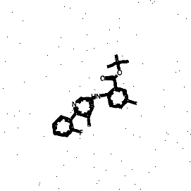 Cc1ccc(Nc2cnc(-c3ccccc3F)c(C)c2)c(C(=O)OC(C)(C)C)c1